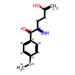 C=C(O)CCC(=N)C(=O)c1ccc(SC)cc1